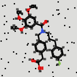 COc1cc(C(=O)N(CCCc2ccc(F)cc2)Cc2ccc(CC(=O)O)cc2)cc(OC)c1OC